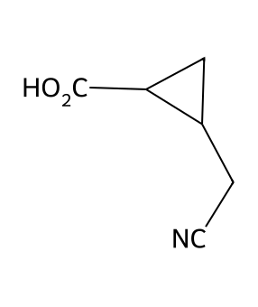 N#CCC1CC1C(=O)O